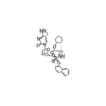 C[C@H](N[P@@](=O)(OC[C@H]1OC[C@@H](n2ccc(N)nc2=O)O1)Oc1cccc2ccccc12)C(=O)OC1CCCCC1